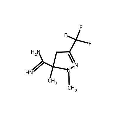 CN1N=C(C(F)(F)F)CC1(C)C(=N)N